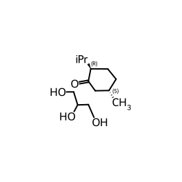 CC(C)[C@H]1CC[C@H](C)CC1=O.OCC(O)CO